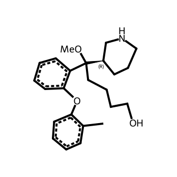 COC(CCCCO)(c1ccccc1Oc1ccccc1C)[C@@H]1CCCNC1